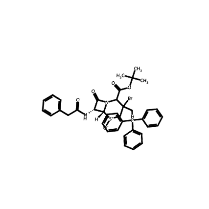 CC(C)(C)OC(=O)C1N2C(=O)[C@@H](NC(=O)Cc3ccccc3)[C@H]2[S+]([O-])CC1(Br)C[PH](c1ccccc1)(c1ccccc1)c1ccccc1